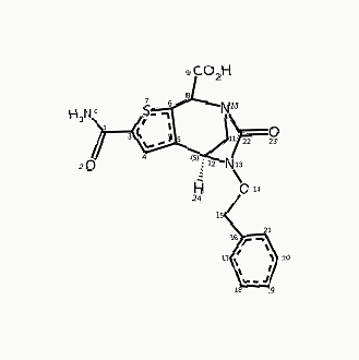 NC(=O)c1cc2c(s1)C(C(=O)O)N1C[C@H]2N(OCc2ccccc2)C1=O